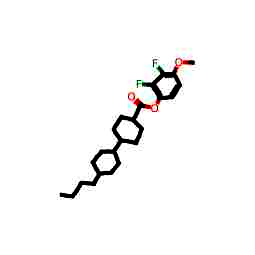 CCCCC1CCC(C2CCC(C(=O)Oc3ccc(OC)c(F)c3F)CC2)CC1